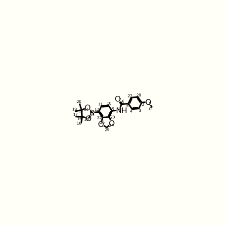 COc1ccc(C(=O)Nc2ccc(B3OC(C)(C)C(C)(C)O3)c3c2OCO3)cc1